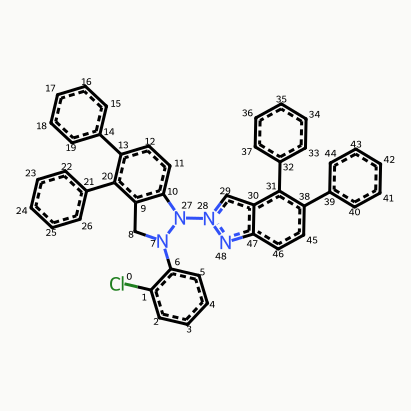 Clc1ccccc1N1Cc2c(ccc(-c3ccccc3)c2-c2ccccc2)N1n1cc2c(-c3ccccc3)c(-c3ccccc3)ccc2n1